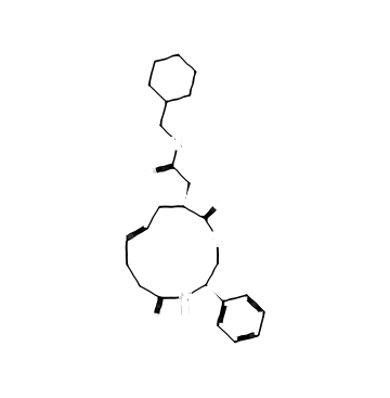 O=C(C[C@@H]1C/C=C/CCC(=O)N[C@H](c2ccccc2)COC1=O)NCC1CCCCC1